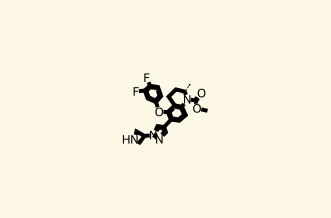 COC(=O)N1c2ccc(-c3cnn(C4CNC4)c3)c(Oc3ccc(F)c(F)c3)c2CC[C@@H]1C